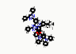 CC(C)(C)c1ccc2c(c1)c1cc(C(C)(C)C)ccc1n2-c1ccc(-c2nc(-c3ccccc3)cc(-c3ccccc3)n2)cc1-c1nc(-c2ccccc2)nc(-c2ccc(-c3ccc4c5c3N(c3ccccc3)c3ccccc3B5c3ccccc3N4c3ccccc3)cc2)n1